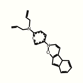 C=CCN(CC=C)c1ccc(N2C=CC3=C(C=C4C=CC=CC43)O2)cc1